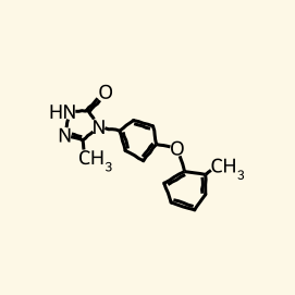 Cc1ccccc1Oc1ccc(-n2c(C)n[nH]c2=O)cc1